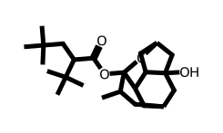 CC1CC2CC3C4CC(CC4(O)C2)CC13OC(=O)C(CC(C)(C)C)C(C)(C)C